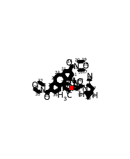 C[C@@H](CC1(c2nnn[nH]2)c2ccc(C(=O)N3CCOCC3)cc2CCc2cc(C(=O)N3CCOCC3)ccc21)NCC(=O)N1[C@H](C#N)C[C@@H]2C[C@@H]21